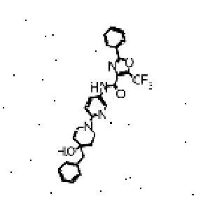 O=C(Nc1ccc(N2CCC(O)(Cc3ccccc3)CC2)nc1)c1nc(-c2ccccc2)oc1C(F)(F)F